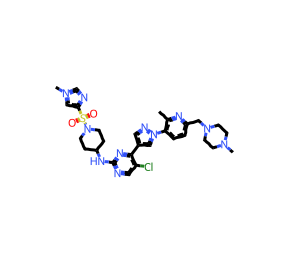 Cc1nc(CN2CCN(C)CC2)ccc1-n1cc(-c2nc(NC3CCN(S(=O)(=O)c4cn(C)cn4)CC3)ncc2Cl)cn1